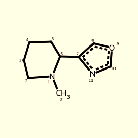 CN1CCCCC1c1cocn1